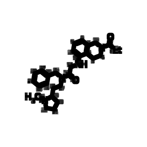 CCC(=O)N1CCc2c(cccc2NCC(=O)N(CCC2CCCN2C)Cc2ccccc2)C1